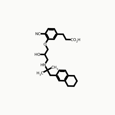 CC(C)(Cc1ccc2c(c1)CCCC2)NCC(O)COc1cc(CCC(=O)O)ccc1C#N